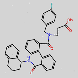 O=C(O)CCN(Cc1ccc(F)cc1)C(=O)c1ccccc1-c1ccccc1C(=O)NC1CCCc2ccccc21